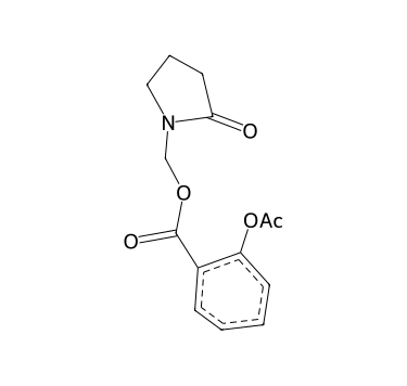 CC(=O)Oc1ccccc1C(=O)OCN1CCCC1=O